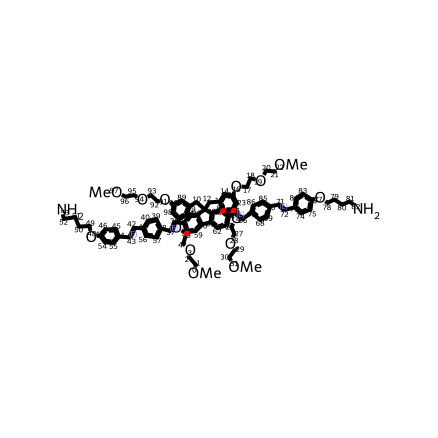 COCCOCCOc1cc(CC2(Cc3cc(OCCOCCOC)cc(OCCOCCOC)c3)c3cc(/C=C/c4ccc(/C=C/c5ccc(OCCCCN)cc5)cc4)ccc3-c3ccc(/C=C/c4ccc(/C=C/c5ccc(OCCCCN)cc5)cc4)cc32)cc(OCCOCCOC)c1